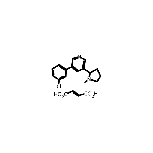 CN1CCCC1c1cncc(-c2cccc(Cl)c2)c1.O=C(O)C=CC(=O)O